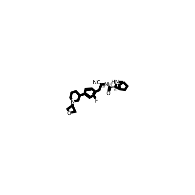 N#C[C@H](Cc1ccc(C2CCCN(C3COC3)C2)cc1F)NC(=O)[C@H]1NC2CCC1C2